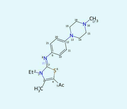 CCn1c(C)c(C(C)=O)s/c1=N\c1ccc(N2CCN(C)CC2)cc1